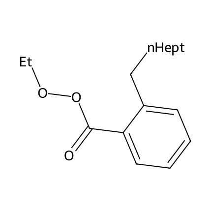 CCCCCCCCc1ccccc1C(=O)OOCC